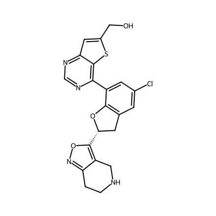 OCc1cc2ncnc(-c3cc(Cl)cc4c3O[C@@H](c3onc5c3CNCC5)C4)c2s1